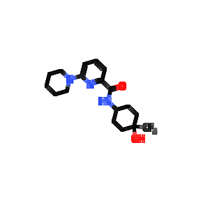 O=C(NC1CCC(O)(C(F)(F)F)CC1)c1cccc(N2CCCCC2)n1